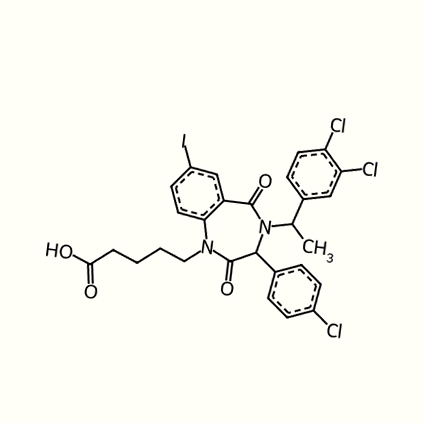 CC(c1ccc(Cl)c(Cl)c1)N1C(=O)c2cc(I)ccc2N(CCCCC(=O)O)C(=O)C1c1ccc(Cl)cc1